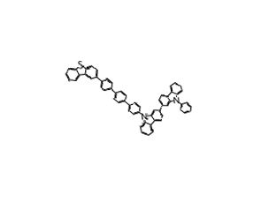 c1ccc(-n2c3ccccc3c3ccc(-c4ccc5c6ccccc6n(-c6ccc(-c7ccc(-c8ccc(-c9ccc%10sc%11ccccc%11c%10c9)cc8)cc7)cc6)c5c4)cc32)cc1